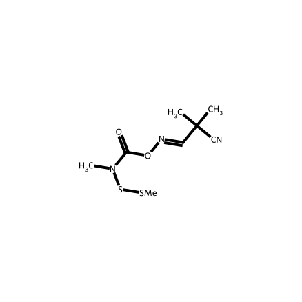 CSSN(C)C(=O)ON=CC(C)(C)C#N